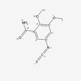 COc1cc(N=C=S)cc(C(N)=O)c1OC